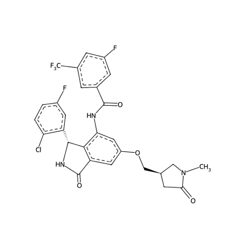 CN1C[C@H](COc2cc(NC(=O)c3cc(F)cc(C(F)(F)F)c3)c3c(c2)C(=O)N[C@@H]3c2cc(F)ccc2Cl)CC1=O